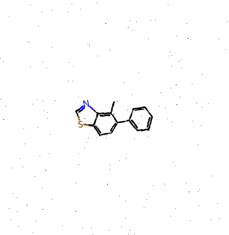 [CH2]c1c(-c2ccccc2)ccc2scnc12